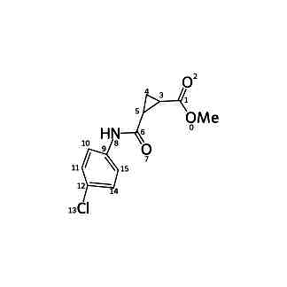 COC(=O)C1CC1C(=O)Nc1ccc(Cl)cc1